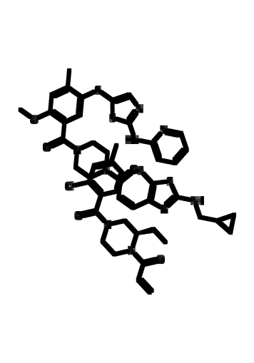 C=CC(=O)N1CCN(C(=O)c2cc(Sc3sc(NCC4CC4)nc3/C=C\C(=O)N3CCN(C(=O)c4cc(Sc5cnc(Nc6ccccn6)s5)c(C)cc4OC)CC3)c(C)cc2Cl)C[C@H]1CC